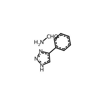 NC=O.c1ccc(-c2c[nH]nn2)cc1